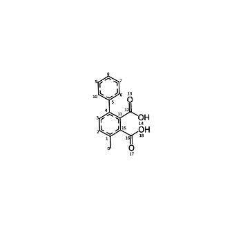 Cc1ccc(-c2ccccc2)c(C(=O)O)c1C(=O)O